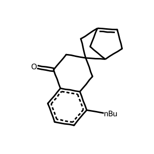 CCCCc1cccc2c1CC1(CC2=O)CC2=CCC1C2